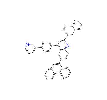 c1cncc(-c2ccc(-c3cc(-c4ccc5ccccc5c4)nc4ccc(-c5cc6ccccc6c6ccccc56)cc34)cc2)c1